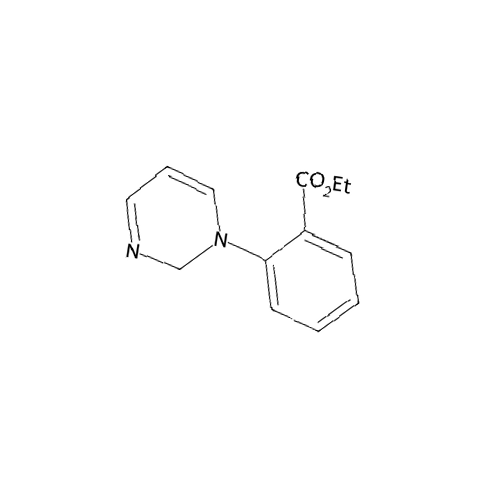 CCOC(=O)c1ccccc1N1C=CC=NC1